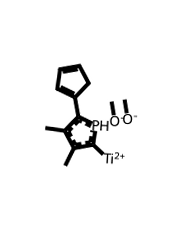 C[O-].C[O-].Cc1[c]([Ti+2])[pH]c(C2=CC=CC2)c1C